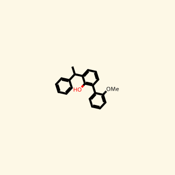 COc1ccccc1-c1cccc(C(C)c2ccccc2)c1O